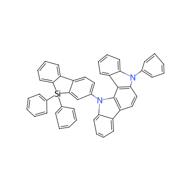 c1ccc(-n2c3ccccc3c3c2ccc2c4ccccc4n(-c4ccc5c(c4)[Si](c4ccccc4)(c4ccccc4)c4ccccc4-5)c23)cc1